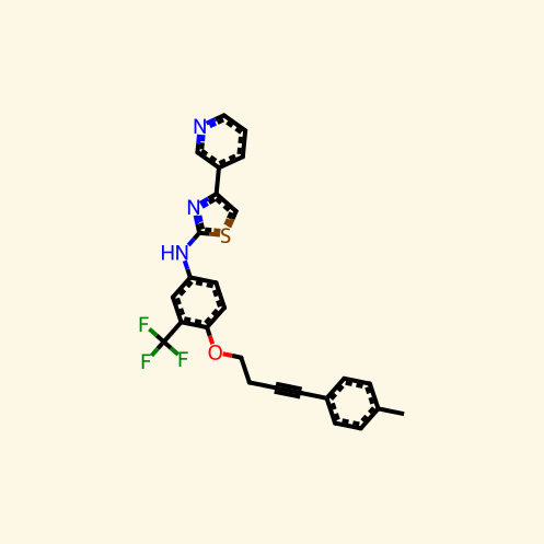 Cc1ccc(C#CCCOc2ccc(Nc3nc(-c4cccnc4)cs3)cc2C(F)(F)F)cc1